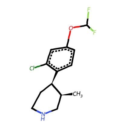 C[C@H]1CNCC[C@H]1c1ccc(OC(F)F)cc1Cl